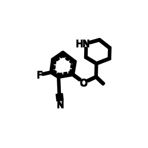 CC(Oc1cccc(F)c1C#N)C1CCCNC1